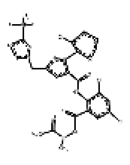 COC(=O)N(C)NC(=O)c1cc(Cl)cc(Cl)c1NC(=O)c1cc(Cn2nnc(C(C)(F)F)n2)nn1-c1ncccc1Cl